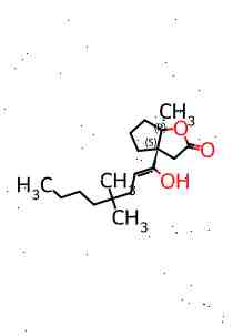 CCCCC(C)(C)CC=C(O)[C@@]12CCC[C@@]1(C)OC(=O)C2